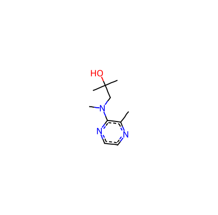 Cc1nccnc1N(C)CC(C)(C)O